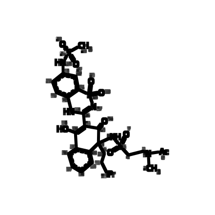 CC(=O)N(C)CCS(=O)(=O)NC1(CCC(C)C)C(=O)C(C2=NS(=O)(=O)c3cc(NS(C)(=O)=O)ccc3N2)=C(O)c2ccccc21